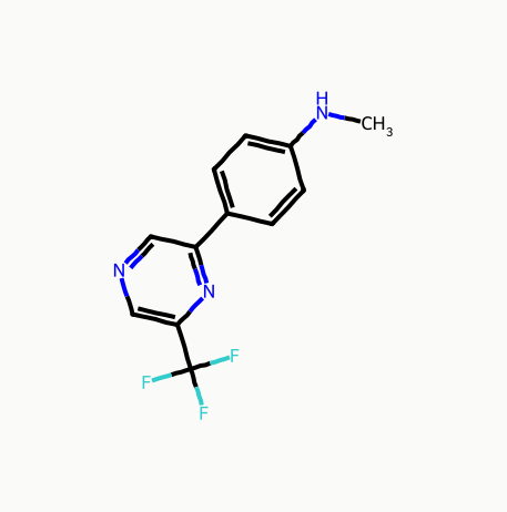 CNc1ccc(-c2cncc(C(F)(F)F)n2)cc1